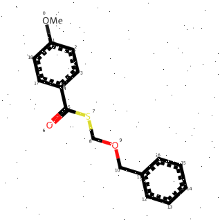 COc1ccc(C(=O)SCOCc2ccccc2)cc1